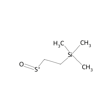 C[Si](C)(C)CC[S+]=O